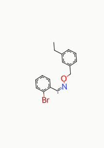 CCc1cccc(CO/N=[C]\c2ccccc2Br)c1